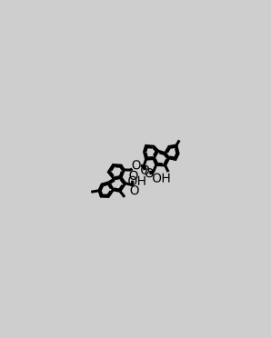 Cc1ccc2c(C)c(C(=O)O)c3c(C(=O)OC(=O)c4cccc5c4c(C(=O)O)c(C)c4ccc(C)cc45)cccc3c2c1